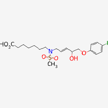 CS(=O)(=O)N(CC=CC(O)COc1ccc(F)cc1)CCCCCCC(=O)O